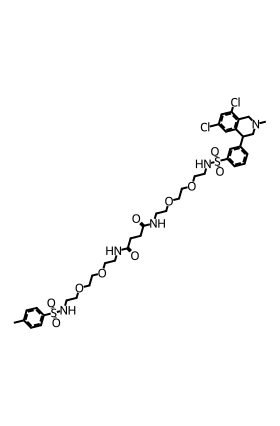 Cc1ccc(S(=O)(=O)NCCOCCOCCNC(=O)CCC(=O)NCCOCCOCCNS(=O)(=O)c2cccc(C3CN(C)Cc4c(Cl)cc(Cl)cc43)c2)cc1